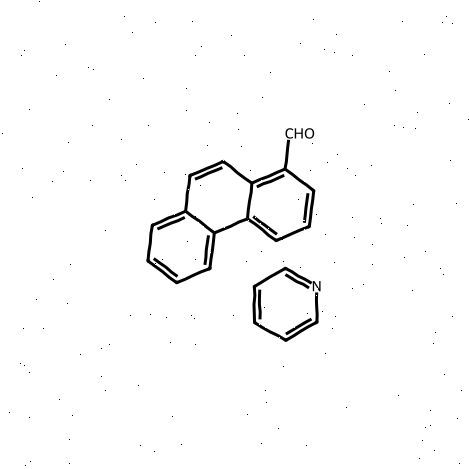 O=Cc1cccc2c1ccc1ccccc12.c1ccncc1